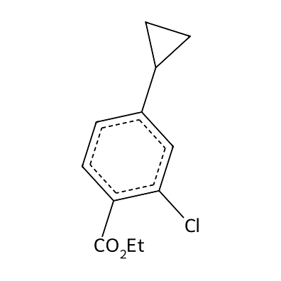 CCOC(=O)c1ccc(C2CC2)cc1Cl